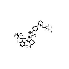 CCC1(CC)CN(c2ccccc2NC(=O)Nc2ccc(C3CCCN3CC(C)C)cc2)c2c(O)ccc(F)c21